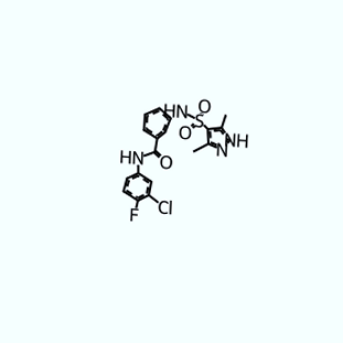 Cc1n[nH]c(C)c1S(=O)(=O)Nc1cccc(C(=O)Nc2ccc(F)c(Cl)c2)c1